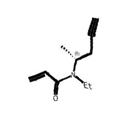 C#CC[C@@H](C)N(CC)C(=O)C=C